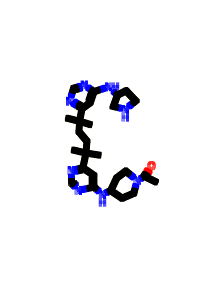 CC(=O)N1CCC(Nc2cc(C(C)(C)CCC(C)(C)c3cc(NC4CCNC4)ncn3)ncn2)CC1